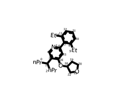 CCCC(CCC)c1cnc(-c2c(CC)cccc2CC)cc1OC1CCOC1